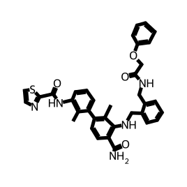 Cc1c(NC(=O)c2nccs2)cccc1-c1ccc(C(N)=O)c(NCc2ccccc2CNC(=O)COc2ccccc2)c1C